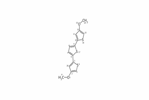 COc1csc(-c2ccc(-c3cc(OC)cs3)s2)c1